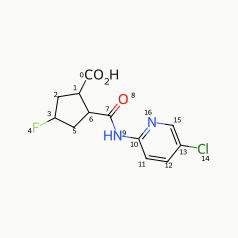 O=C(O)C1CC(F)CC1C(=O)Nc1ccc(Cl)cn1